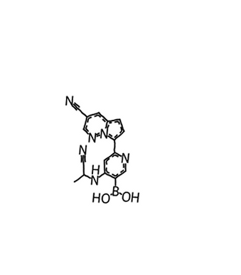 CC(C#N)Nc1cc(-c2ccc3cc(C#N)cnn23)ncc1B(O)O